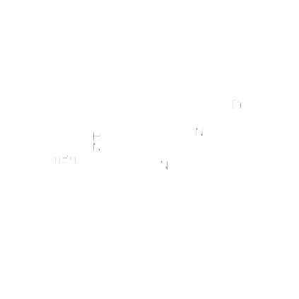 CCCCNCCn1ccc2ccc(Br)nc21